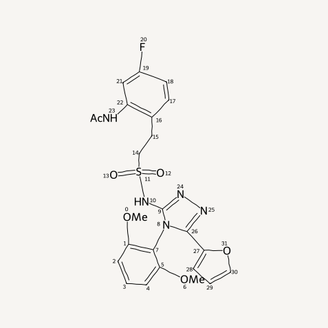 COc1cccc(OC)c1-n1c(NS(=O)(=O)CCc2ccc(F)cc2NC(C)=O)nnc1-c1ccco1